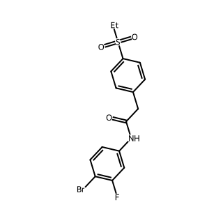 CCS(=O)(=O)c1ccc(CC(=O)Nc2ccc(Br)c(F)c2)cc1